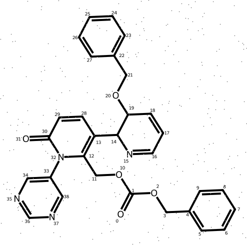 O=C(OCc1ccccc1)OCc1c(C2N=CC=CC2OCc2ccccc2)ccc(=O)n1-c1cncnc1